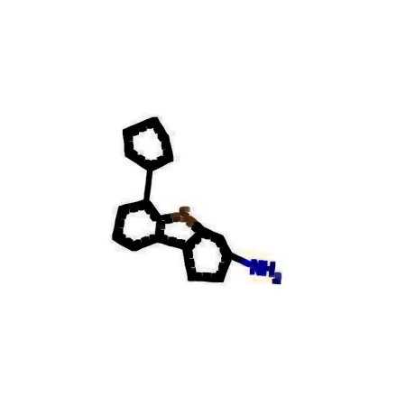 Nc1ccc2c(c1)sc1c(-c3ccccc3)cccc12